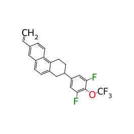 C=Cc1ccc2c3c(ccc2c1)CC(c1cc(F)c(OC(F)(F)F)c(F)c1)CC3